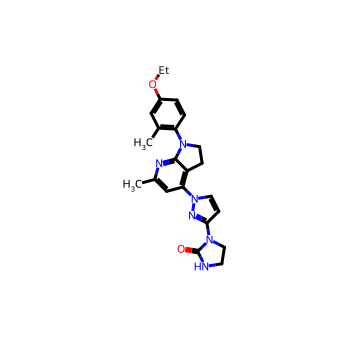 CCOc1ccc(N2CCc3c(-n4ccc(N5CCNC5=O)n4)cc(C)nc32)c(C)c1